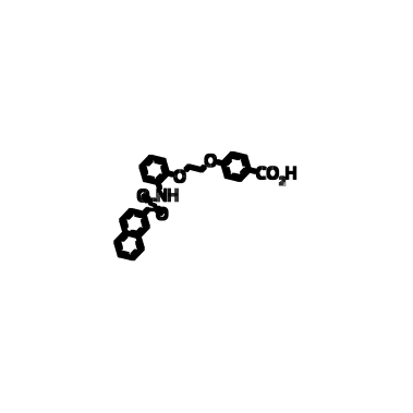 O=C(O)c1ccc(OCCOc2ccccc2NS(=O)(=O)c2ccc3ccccc3c2)cc1